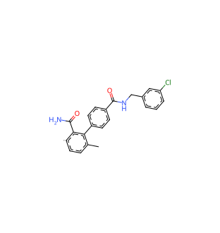 Cc1cc[c]c(C(N)=O)c1-c1ccc(C(=O)NCc2cccc(Cl)c2)cc1